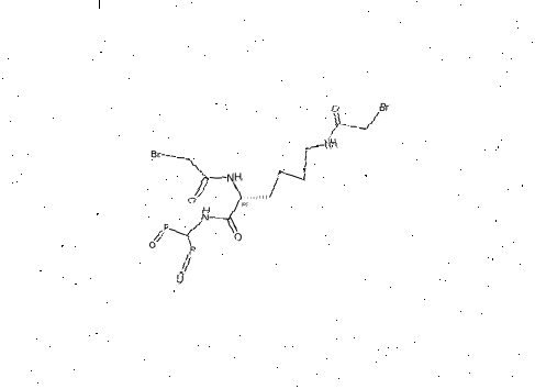 O=PC(NC(=O)[C@@H](CCCCNC(=O)CBr)NC(=O)CBr)P=O